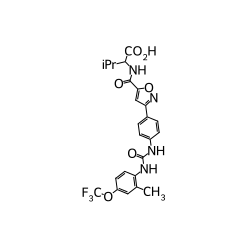 Cc1cc(OC(F)(F)F)ccc1NC(=O)Nc1ccc(-c2cc(C(=O)NC(C(=O)O)C(C)C)on2)cc1